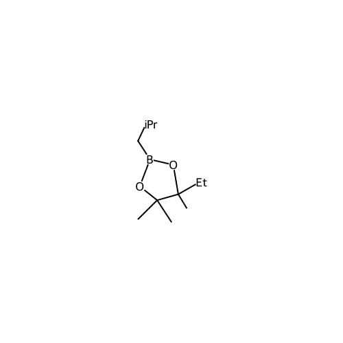 CCC1(C)OB(CC(C)C)OC1(C)C